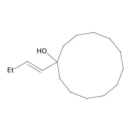 CCC=CC1(O)CCCCCCCCCCC1